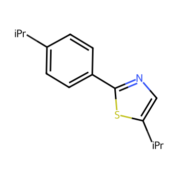 CC(C)c1ccc(-c2ncc(C(C)C)s2)cc1